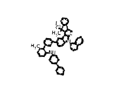 CC1C=CC=C(Nc2ccc(-c3ccccc3)cc2)C1c1cccc(-c2ccc3c(c2)c2c4c(ccc2n3-c2cccc3ccccc23)-c2ccccc2C4(C)C)c1